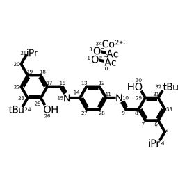 CC(=O)[O-].CC(=O)[O-].CC(C)Cc1cc(C=Nc2ccc(N=Cc3cc(CC(C)C)cc(C(C)(C)C)c3O)cc2)c(O)c(C(C)(C)C)c1.[Co+2]